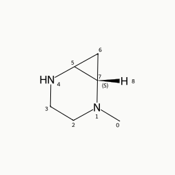 CN1CCNC2C[C@@H]21